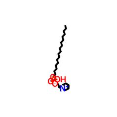 CCCCCCCCCCCCCCCCCCOP(=O)(O)OCC[N+]1(C)CCCCC1